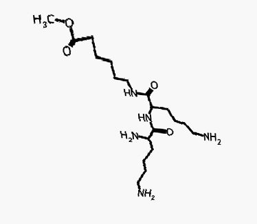 COC(=O)CCCCCNC(=O)C(CCCCN)NC(=O)C(N)CCCCN